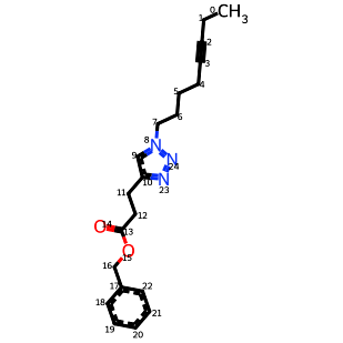 CCC#CCCCCn1cc(CCC(=O)OCc2ccccc2)nn1